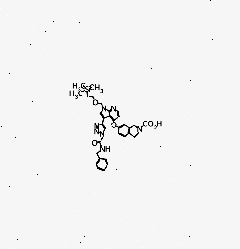 C[Si](C)(C)CCOCn1cc(-c2cn(CC(=O)NCc3ccccc3)nn2)c2c(Oc3ccc4c(c3)CN(C(=O)O)CC4)ccnc21